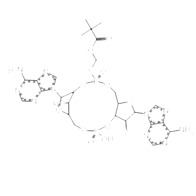 CC(C)(C)C(=O)OCSP1(=O)OCC2OC(n3cnc4c(N)ncnc43)C(F)C2OP(=O)(O)OCC2OC(n3cnc4c(N)ncnc43)C(O1)C2O